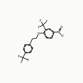 O=[N+]([O-])c1ccc(OCCc2ccc(C(F)(F)F)cc2)c(C(F)(F)F)c1